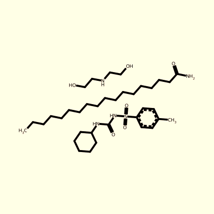 CCCCCCCCCCCCCCCCCC(N)=O.Cc1ccc(S(=O)(=O)NC(=O)NC2CCCCC2)cc1.OCCNCCO